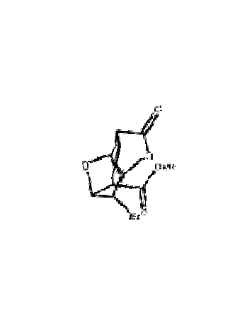 CCC1C2OC(=O)C3C2OC1C3C(=O)OC